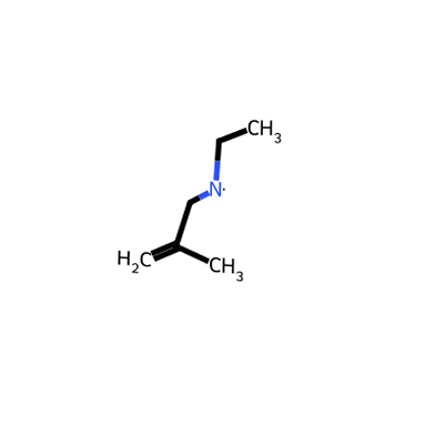 C=C(C)C[N]CC